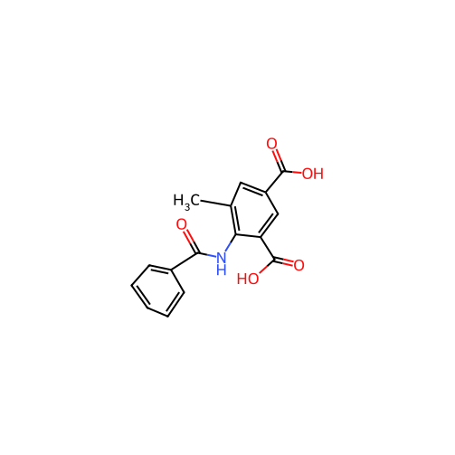 Cc1cc(C(=O)O)cc(C(=O)O)c1NC(=O)c1ccccc1